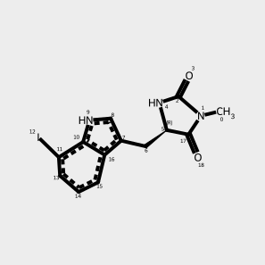 CN1C(=O)N[C@H](Cc2c[nH]c3c(I)cccc23)C1=O